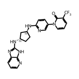 O=c1c(C(F)(F)F)cccn1-c1ccc(N[C@H]2CC[C@H](Nc3nc4cccnc4[nH]3)C2)nc1